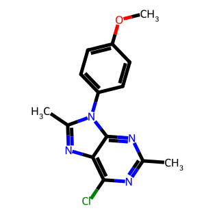 COc1ccc(-n2c(C)nc3c(Cl)nc(C)nc32)cc1